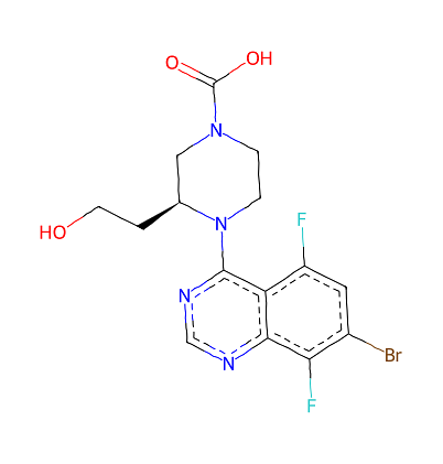 O=C(O)N1CCN(c2ncnc3c(F)c(Br)cc(F)c23)[C@@H](CCO)C1